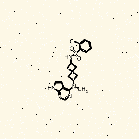 CN(c1ncnc2[nH]ccc12)C1CC2(CC(NS(=O)(=O)c3ccccc3Cl)C2)C1